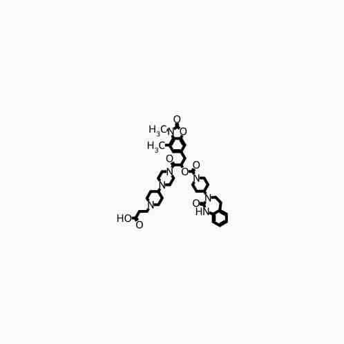 Cc1cc(CC(OC(=O)N2CCC(N3CCc4ccccc4NC3=O)CC2)C(=O)N2CCN(C3CCN(CCC(=O)O)CC3)CC2)cc2oc(=O)n(C)c12